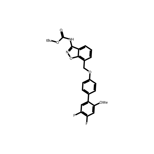 COc1cc(F)c(F)cc1-c1ccc(OCc2cccc3c(NC(=O)OC(C)(C)C)noc23)cc1